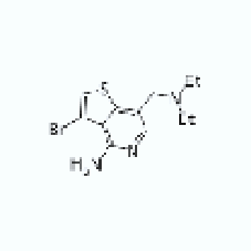 CCN(CC)Cc1cnc(N)c2c(Br)csc12